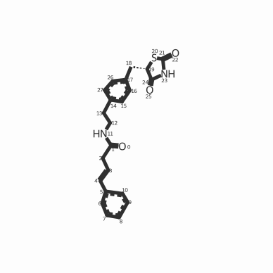 O=C(C/C=C/c1ccccc1)NCCc1ccc(C[C@@H]2SC(=O)NC2=O)cc1